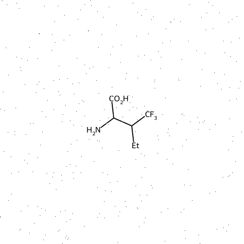 CCC(C(N)C(=O)O)C(F)(F)F